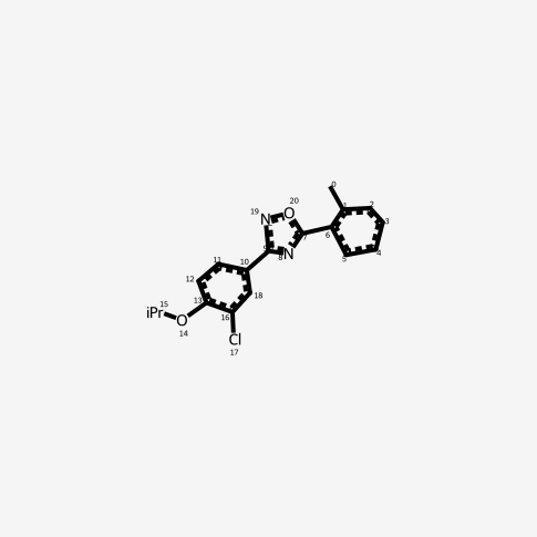 Cc1ccccc1-c1nc(-c2ccc(OC(C)C)c(Cl)c2)no1